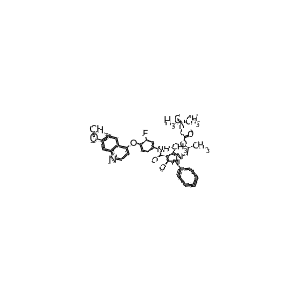 COc1ccc2c(Oc3ccc(NC(=O)c4c(C)n(CC(C)OC(=O)CN(C)C)n(-c5ccccc5)c4=O)cc3F)ccnc2c1